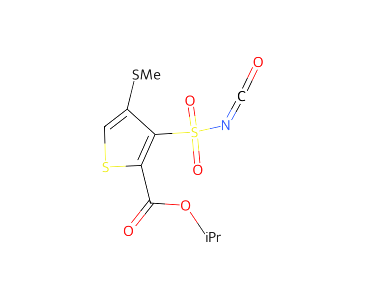 CSc1csc(C(=O)OC(C)C)c1S(=O)(=O)N=C=O